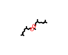 CC(C)=CCCC(C)CCOC(C)OCCC(C)CCC=C(C)C